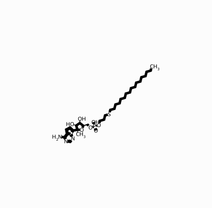 CCCCCCCCCCCCCCCCCSCCCOP(=O)(O)OC[C@H]1O[C@@](C)(c2ccc3c(N)ncnn23)[C@H](O)[C@@H]1O